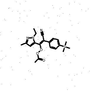 CCn1nc(C)cc1C(OOC(C)=O)=C(C#N)c1ccc([Si](C)(C)C)cc1